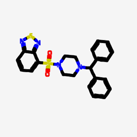 O=S(=O)(c1cccc2nsnc12)N1CCN(C(c2ccccc2)c2ccccc2)CC1